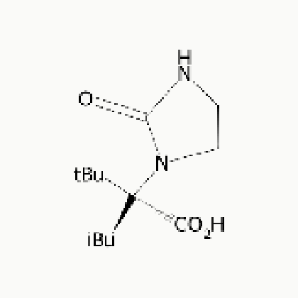 CC[C@H](C)[C@](C(=O)O)(N1CCNC1=O)C(C)(C)C